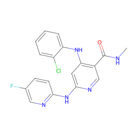 CNC(=O)c1cnc(Nc2ccc(F)cn2)cc1Nc1ccccc1Cl